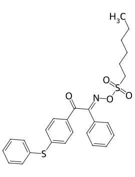 CCCCCCS(=O)(=O)O/N=C(/C(=O)c1ccc(Sc2ccccc2)cc1)c1ccccc1